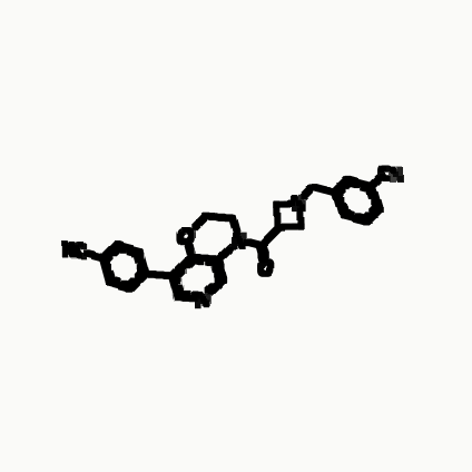 N#Cc1ccc(-c2cncc3c2OCCN3C(=O)C2CN(Cc3cccc(C#N)c3)C2)cc1